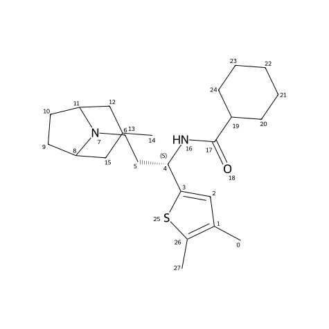 Cc1cc([C@H](CCN2C3CCC2CC(C)C3)NC(=O)C2CCCCC2)sc1C